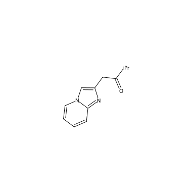 CC(C)C(=O)Cc1cn2ccccc2n1